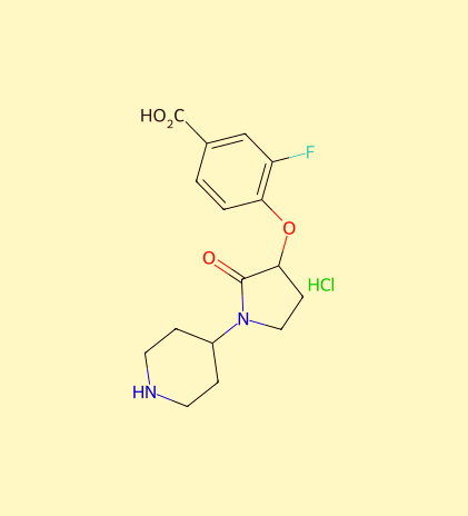 Cl.O=C(O)c1ccc(OC2CCN(C3CCNCC3)C2=O)c(F)c1